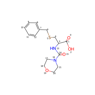 O=C(O)C(CSCc1ccccc1)NC(=O)N1CCOCC1